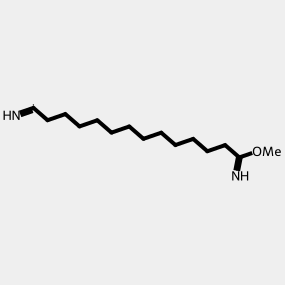 COC(=N)CCCCCCCCCCCC[C]=N